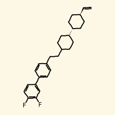 C=C[C@H]1CC[C@H](C2CCC(CCc3ccc(-c4ccc(F)c(F)c4)cc3)CC2)CC1